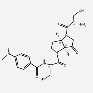 CC(C)C[C@H](NC(=O)c1ccc(N(C)C)cc1)C(=O)N1CC[C@@H]2[C@H]1C(=O)CN2C(=O)[C@@H](N)CO